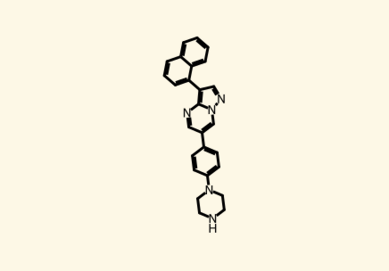 c1ccc2c(-c3cnn4cc(-c5ccc(N6CCNCC6)cc5)cnc34)cccc2c1